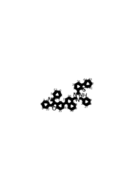 c1ccc(-c2nc3ccccc3c3oc4ccc(-c5ccc(C6=NC(c7ccccc7)NC(c7cccc8c7sc7ccccc78)=N6)c6ccccc56)cc4c23)cc1